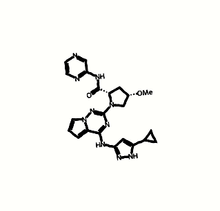 CO[C@H]1C[C@@H](C(=O)Nc2cnccn2)N(c2nc(Nc3cc(C4CC4)[nH]n3)c3cccn3n2)C1